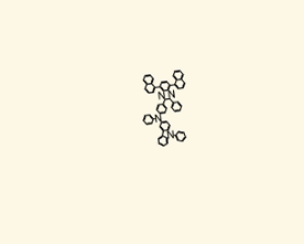 c1ccc(-c2nc3c(-c4cccc5ccccc45)ccc(-c4cccc5ccccc45)c3nc2-c2ccc(N(c3ccccc3)c3ccc4c(c3)c3ccccc3n4-c3ccccc3)cc2)cc1